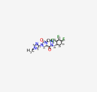 CN1C(=O)N(c2cn(C)cn2)CC1C(=O)NCc1ccc(F)c(F)c1Cl